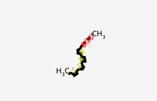 CCOCOCOCc1ccc(-c2ccc(-c3ccc(-c4ccc(CC)s4)s3)s2)s1